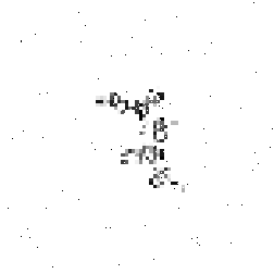 CS(=O)(=O)OCc1cc(N2CCOCC2)nc(-c2ccc3[nH]cc(C(O)c4cc(N5CCOCC5)nc(-c5ccc6[nH]ccc6c5)n4)c3c2)n1